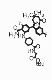 CC1(C)CC(=O)n2c(c(-c3cc(F)c(C(N)=O)c(N[C@H]4CC[C@H](C(=O)NCC(=O)OC(C)(C)C)CC4)c3)c3ccc(F)cc32)C1